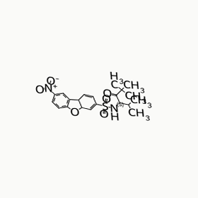 CC(C)[C@H](NS(=O)(=O)C1=CC2Oc3ccc([N+](=O)[O-])cc3C2C=C1)C(=O)C(C)(C)C